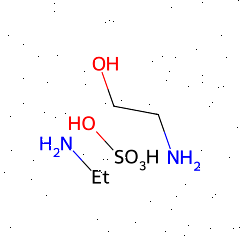 CCN.NCCO.O=S(=O)(O)O